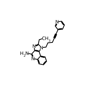 CCc1nc2c(N)nc3ccccc3c2n1CCCC#Cc1cccnc1